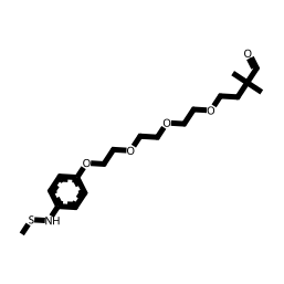 CSNc1ccc(OCCOCCOCCOCCC(C)(C)C=O)cc1